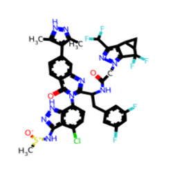 Cc1n[nH]c(C)c1-c1ccc2c(=O)n(-c3ccc(Cl)c4c(N[S+](C)[O-])n[nH]c34)c(C(Cc3cc(F)cc(F)c3)NC(=O)Cn3nc(C(F)F)c4c3C(F)(F)C3CC43)nc2c1